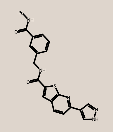 CC(C)NC(=O)c1cccc(CNC(=O)c2cc3ccc(-c4cn[nH]c4)nc3s2)c1